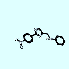 O=[N+]([O-])c1ccc(-c2ncc(CNc3ccccc3)s2)cc1